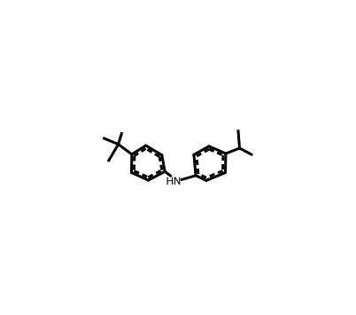 CC(C)c1ccc(Nc2ccc(C(C)(C)C)cc2)cc1